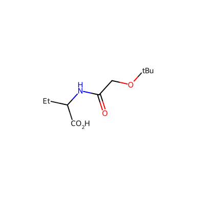 CCC(NC(=O)COC(C)(C)C)C(=O)O